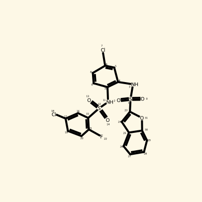 O=S(=O)(Nc1cc(Cl)ccc1NS(=O)(=O)c1cc(Cl)ccc1F)c1cc2ccccc2o1